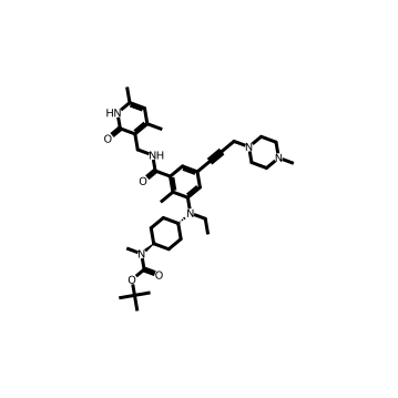 CCN(c1cc(C#CCN2CCN(C)CC2)cc(C(=O)NCc2c(C)cc(C)[nH]c2=O)c1C)[C@H]1CC[C@H](N(C)C(=O)OC(C)(C)C)CC1